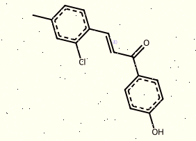 Cc1ccc(/C=C/C(=O)c2ccc(O)cc2)c(Cl)c1